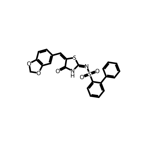 O=C1NC(=NS(=O)(=O)c2ccccc2-c2ccccc2)SC1=Cc1ccc2c(c1)OCO2